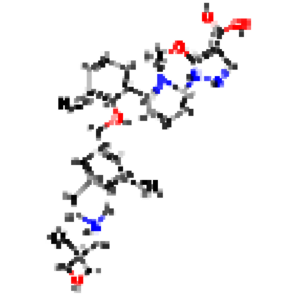 COc1c(C(=O)O)cnn1-c1cccc(-c2cccc(C)c2OCc2cc(C)c3c(c2)CCN(CC2(C)COC2)C3)n1